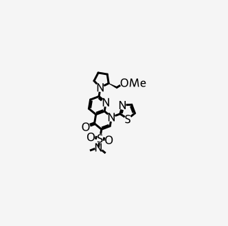 COC[C@@H]1CCCN1c1ccc2c(=O)c(S(=O)(=O)N(C)C)cn(-c3nccs3)c2n1